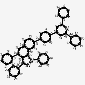 c1ccc(-c2cc(-c3ccc(-c4ccc5cc(-c6ccccc6)c6c(-c7ccccc7)nn(-c7ccccc7)c6c5c4)cc3)cc(-c3ccccc3)n2)cc1